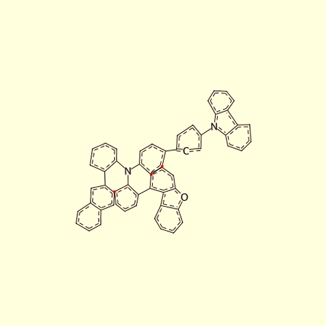 c1ccc(N(c2ccc(-c3ccc(-n4c5ccccc5c5ccccc54)cc3)cc2)c2ccccc2-c2cccc3oc4ccccc4c23)c(-c2ccc3ccccc3c2)c1